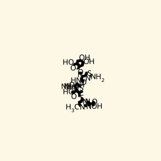 Cc1cc(SCC2=C(C(=O)O)N3C(=O)[C@@H](NC(=O)C(=NOCc4cc(O)c(O)cc4C(=O)O)c4csc(N)n4)[C@H]3SC2)n2nc(C(=O)O)nc2n1.[Na].[Na].[Na]